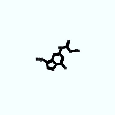 CCOC(=O)c1cnn2c(Br)cc(NC(=O)OC(C)(C)C)cc12